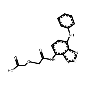 O=C(O)COCC(=O)Nc1ccc(Nc2ccccc2)c2nonc12